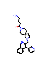 NCCCC(=O)N1CCC2(C=CN(Cc3ncc4ccccc4c3-c3cccnc3)C2)CC1